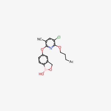 CC(=O)CCCOc1nc(Oc2ccc3c(c2)COB3O)c(C#N)cc1Cl